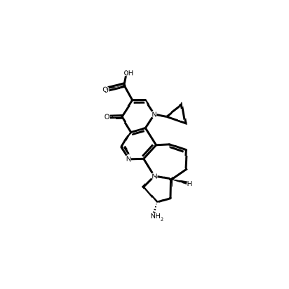 N[C@H]1C[C@H]2CC=Cc3c(ncc4c(=O)c(C(=O)O)cn(C5CC5)c34)N2C1